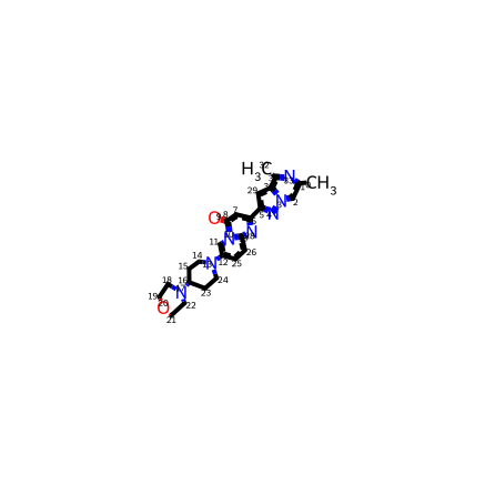 Cc1cn2nc(-c3cc(=O)n4cc(N5CCC(N6CCOCC6)CC5)ccc4n3)cc2c(C)n1